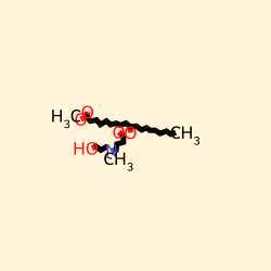 CCCCCCCCCC(CCCCCCCCC(=O)OC)OC(=O)CCCN(C)CCCO